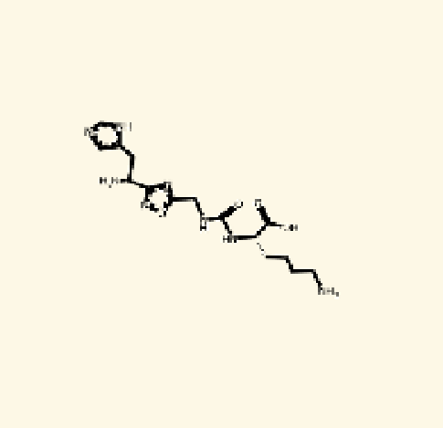 NCCCC[C@H](NC(=O)NCc1nc([C@@H](N)Cc2cnc[nH]2)no1)C(=O)O